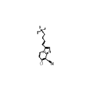 N#Cc1c(Cl)ccn2c(/C=C/CCC(F)(F)F)cnc12